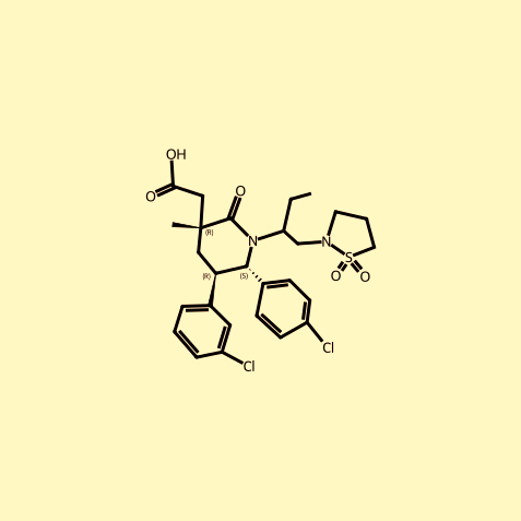 CCC(CN1CCCS1(=O)=O)N1C(=O)[C@@](C)(CC(=O)O)C[C@H](c2cccc(Cl)c2)[C@H]1c1ccc(Cl)cc1